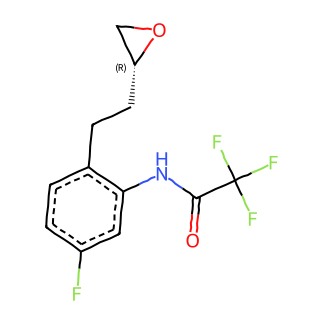 O=C(Nc1cc(F)ccc1CC[C@@H]1CO1)C(F)(F)F